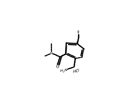 CN(C)C(=O)c1cc(F)ccc1CN.Cl